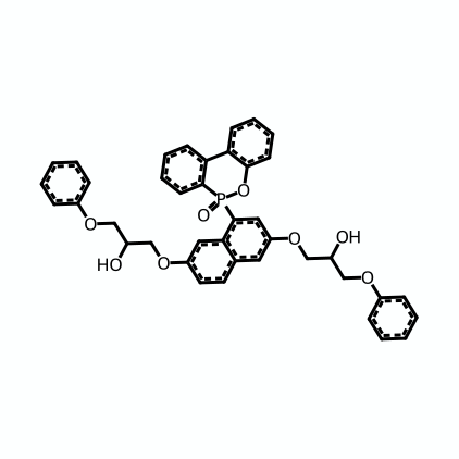 O=P1(c2cc(OCC(O)COc3ccccc3)cc3ccc(OCC(O)COc4ccccc4)cc23)Oc2ccccc2-c2ccccc21